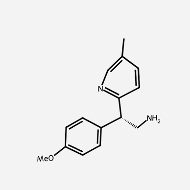 COc1ccc([C@@H](CN)c2ccc(C)cn2)cc1